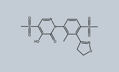 Cc1c(-n2ncc(S(C)(=O)=O)c(O)c2=O)ccc(S(C)(=O)=O)c1C1=NOCC1